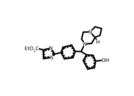 CCOC(=O)c1csc(-c2ccc(C(c3cccc(O)c3)N3CCN4CCC[C@@H]4C3)cc2)n1